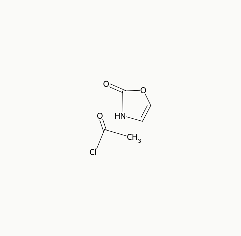 CC(=O)Cl.O=c1[nH]cco1